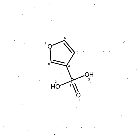 O=P(O)(O)c1ccoc1